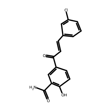 NC(=O)c1cc(C(=O)C=Cc2cccc(Cl)c2)ccc1O